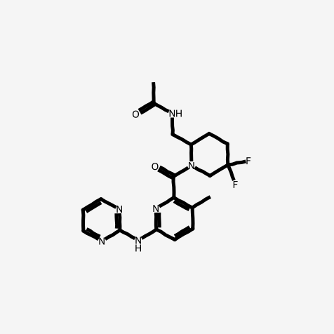 CC(=O)NCC1CCC(F)(F)CN1C(=O)c1nc(Nc2ncccn2)ccc1C